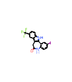 O=C1Cc2c([nH]c3ccc(C(F)(F)F)cc23)-c2cc(I)ccc2N1